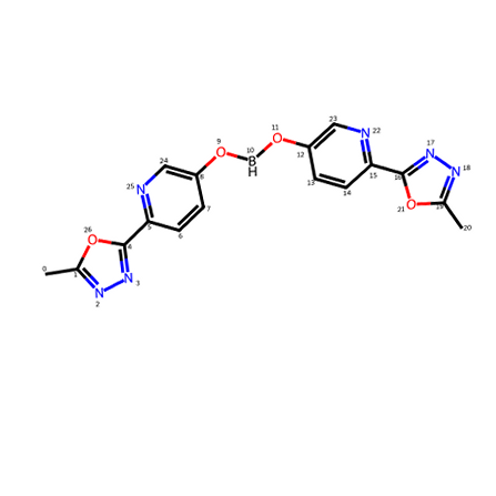 Cc1nnc(-c2ccc(OBOc3ccc(-c4nnc(C)o4)nc3)cn2)o1